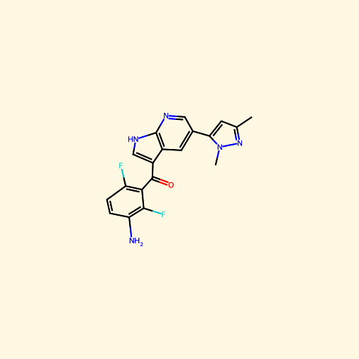 Cc1cc(-c2cnc3[nH]cc(C(=O)c4c(F)ccc(N)c4F)c3c2)n(C)n1